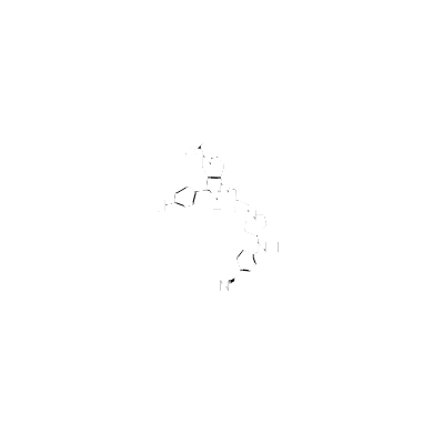 CC(=O)N1CCc2c(c(-c3ccc(Cl)cc3)nn2CC(O)CN2CCC(Nc3ccc(C#N)cc3)CC2)C1